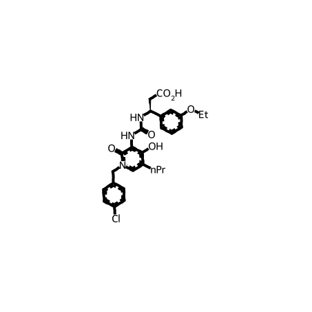 CCCc1cn(Cc2ccc(Cl)cc2)c(=O)c(NC(=O)N[C@@H](CC(=O)O)c2cccc(OCC)c2)c1O